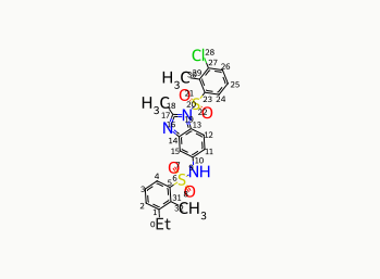 CCc1cccc(S(=O)(=O)Nc2ccc3c(c2)nc(C)n3S(=O)(=O)c2cccc(Cl)c2C)c1C